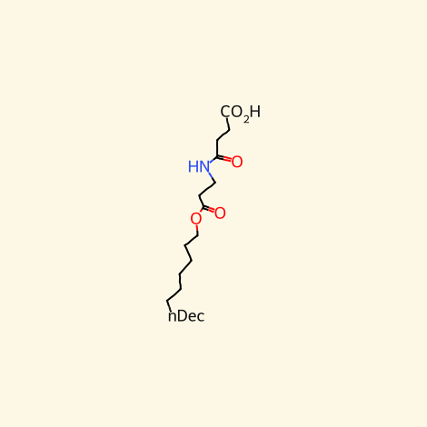 CCCCCCCCCCCCCCCCOC(=O)CCNC(=O)CCC(=O)O